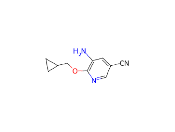 N#Cc1cnc(OCC2CC2)c(N)c1